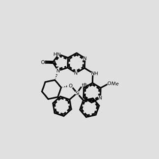 COc1ncccc1Nc1ncc2[nH]c(=O)n([C@H]3CCCC[C@H]3O[Si](c3ccccc3)(c3ccccc3)C(C)(C)C)c2n1